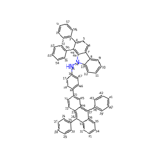 c1ccc(-c2ccc3c4ccccc4n(Nc4ccc(-c5ccc6c(-c7ccccc7)c7ccccc7c(-c7ccccc7)c6c5)cc4)c3c2-c2ccccc2)cc1